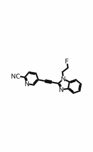 N#Cc1ccc(C#Cc2nc3ccccc3n2CCF)cn1